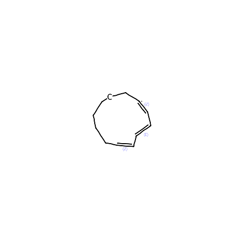 [C]1=C/C=C/C=C\CCCCCC\1